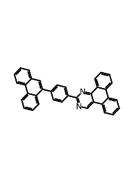 c1ccc2c(c1)cc(-c1ccc(-c3ncc4c5ccccc5c5ccccc5c4n3)cc1)c1ccccc12